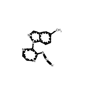 Cc1ccc2c(cnn2-c2nccnc2N=[N+]=[N-])c1